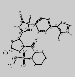 BBS(=O)(=O)N1CCCC[C@H]1C(=O)N1C[C@H](O)CC1C1=NC(=O)[C@](C)(c2ccc(-c3scnc3C)cc2)N1